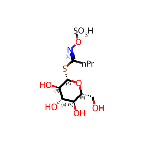 CCC/C(=N\OS(=O)(=O)O)S[C@@H]1O[C@H](CO)[C@@H](O)[C@H](O)[C@H]1O